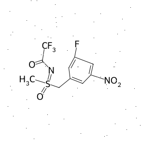 CS(=O)(Cc1cc(F)cc([N+](=O)[O-])c1)=NC(=O)C(F)(F)F